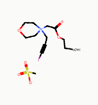 CCCCCCCCCCCCOC(=O)C[N+]1(CC#CI)CCOCC1.CS(=O)(=O)[O-]